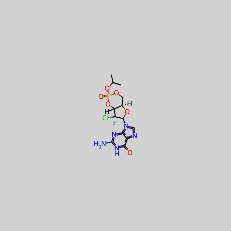 CC(C)O[P@@]1(=O)OC[C@H]2O[C@@H](n3cnc4c(=O)[nH]c(N)nc43)[C@@](F)(Cl)[C@@H]2O1